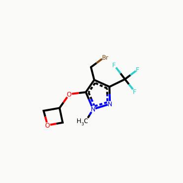 Cn1nc(C(F)(F)F)c(CBr)c1OC1COC1